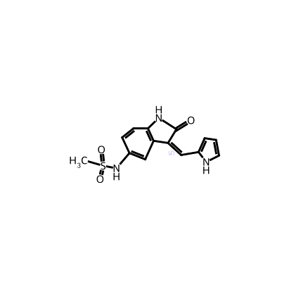 CS(=O)(=O)Nc1ccc2c(c1)/C(=C/c1ccc[nH]1)C(=O)N2